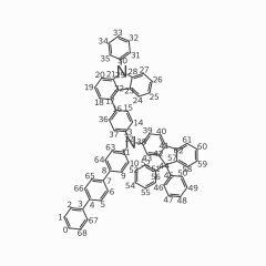 c1ccc(-c2ccc(-c3ccc(N(c4ccc(-c5cccc6c5c5ccccc5n6-c5ccccc5)cc4)c4ccc5c(c4)C(c4ccccc4)(c4ccccc4)c4ccccc4-5)cc3)cc2)cc1